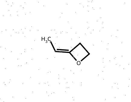 CC=C1CCO1